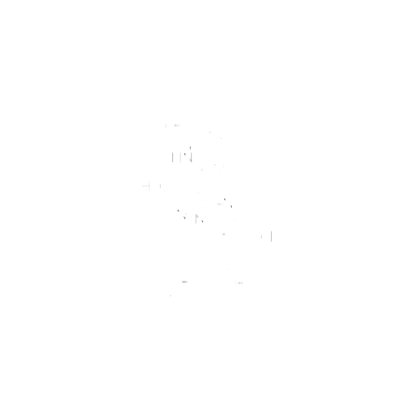 Cc1nn2c(-c3ccc(Cl)cc3)c(-c3ccccc3Cl)cnc2c1C(=O)N[C@H]1C(=O)CSC1=O